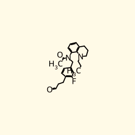 CCCN1CCCc2cccc(N(Cc3ccc(CCC=O)c(F)c3)C(C)=O)c21